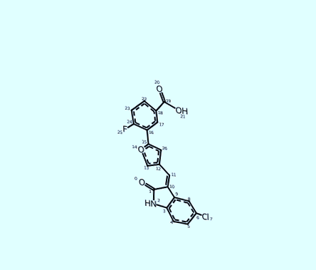 O=C1Nc2ccc(Cl)cc2C1=Cc1coc(-c2cc(C(=O)O)ccc2F)c1